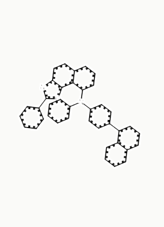 c1ccc(-c2nc3ccc4cccc(N(c5ccccc5)c5ccc(-c6cccc7ccccc67)cc5)c4c3o2)cc1